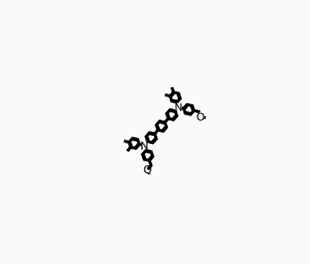 COCc1ccc(N(c2ccc(-c3ccc(-c4ccc(N(c5ccc(COC)cc5)c5ccc(C)c(C)c5)cc4)cc3)cc2)c2ccc(C)c(C)c2)cc1